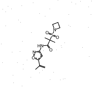 C=C(C)c1cc(NC(=O)C(C)(C)S(=O)(=O)N2CCC2)no1